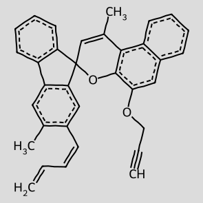 C#CCOc1cc2ccccc2c2c1OC1(C=C2C)c2ccccc2-c2cc(C)c(/C=C\C=C)cc21